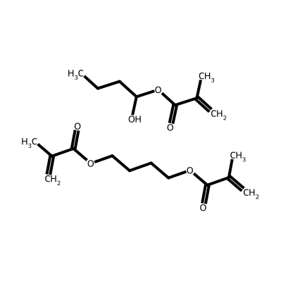 C=C(C)C(=O)OC(O)CCC.C=C(C)C(=O)OCCCCOC(=O)C(=C)C